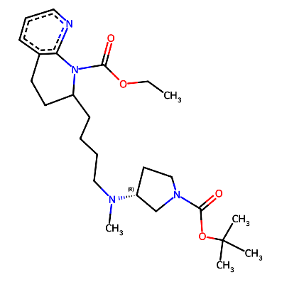 CCOC(=O)N1c2ncccc2CCC1CCCCN(C)[C@@H]1CCN(C(=O)OC(C)(C)C)C1